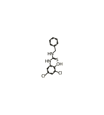 Oc1c(Cl)cc(Cl)cc1NC(=S)NCc1ccccc1